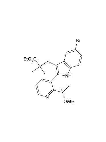 CCOC(=O)C(C)(C)Cc1c(-c2cccnc2[C@H](C)OC)[nH]c2ccc(Br)cc12